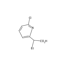 CCC(C(=O)O)c1cccc(Cl)n1